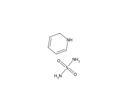 C1=CCNC=C1.NS(N)(=O)=O